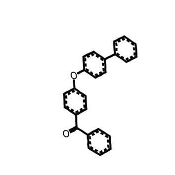 O=C(c1ccccc1)c1ccc(Oc2ccc(-c3ccccc3)cc2)cc1